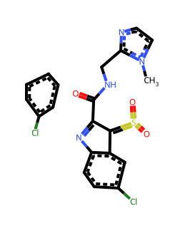 Clc1ccccc1.Cn1ccnc1CNC(=O)C1=Nc2ccc(Cl)cc2C1=S(=O)=O